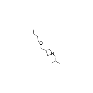 CCCCOCC1CN(CC(C)C)C1